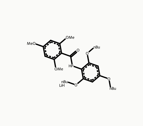 CCCCOc1cc(OCCCC)c(PC(=O)c2c(OC)cc(OC)cc2OC)c(OCCCC)c1.[LiH]